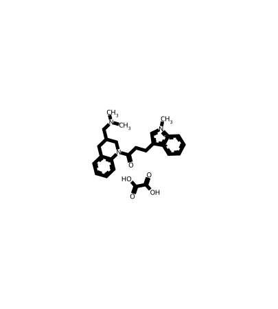 CN(C)CC1Cc2ccccc2N(C(=O)CCc2cn(C)c3ccccc23)C1.O=C(O)C(=O)O